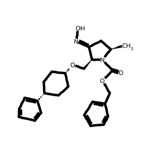 C[C@@H]1CC(=NO)[C@H](CO[C@H]2CC[C@@H](c3ccccc3)CC2)N1C(=O)OCc1ccccc1